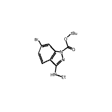 CCNc1nn(C(=O)OC(C)(C)C)c2cc(Br)ccc12